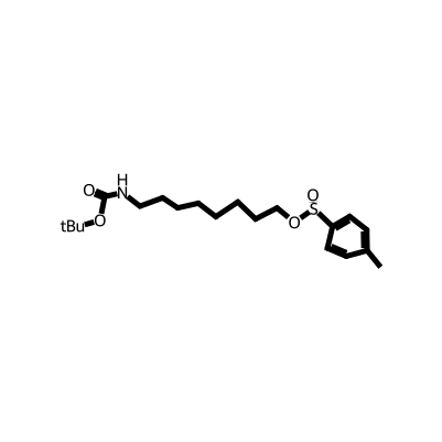 Cc1ccc(S(=O)OCCCCCCCCNC(=O)OC(C)(C)C)cc1